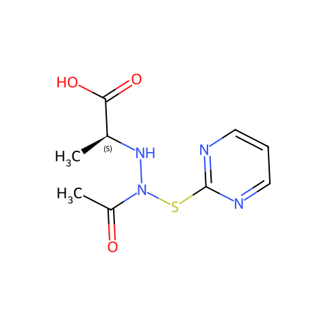 CC(=O)N(N[C@@H](C)C(=O)O)Sc1ncccn1